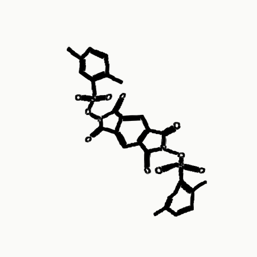 Cc1ccc(C)c(S(=O)(=O)On2c(=O)c3cc4c(=O)n(OS(=O)(=O)c5cc(C)ccc5C)c(=O)c4cc3c2=O)c1